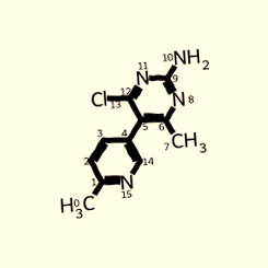 Cc1ccc(-c2c(C)nc(N)nc2Cl)cn1